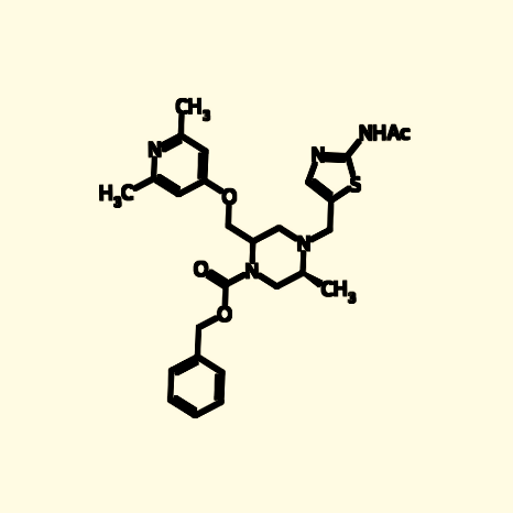 CC(=O)Nc1ncc(CN2CC(COc3cc(C)nc(C)c3)N(C(=O)OCc3ccccc3)C[C@@H]2C)s1